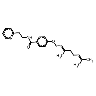 CC(C)=CCC/C(C)=C/COc1ccc(C(=O)NCCc2ccccn2)cc1